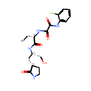 CC(C)C[C@H](NC(=O)C(=O)Nc1ccccc1F)C(=O)N[C@H](CO)C[C@@H]1CCNC1=O